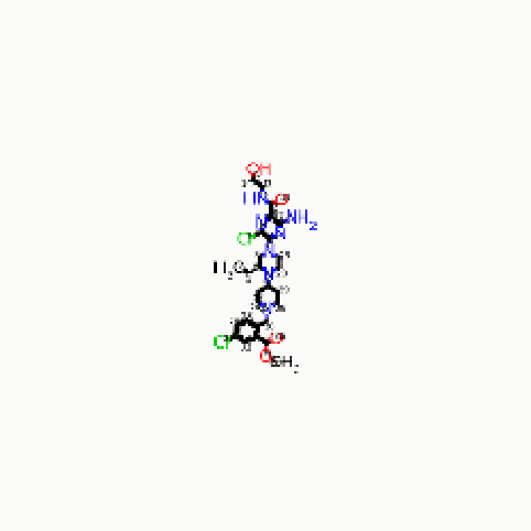 CC[C@H]1CN(c2nc(N)c(C(=O)NCCO)nc2Cl)CCN1C1CCN(Cc2ccc(Cl)cc2C(=O)OC)CC1